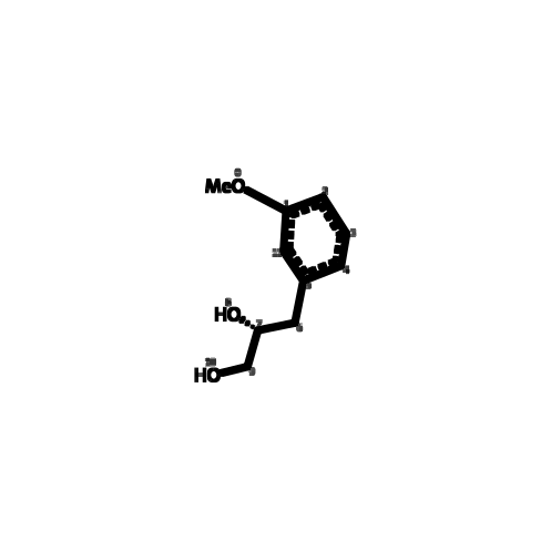 COc1cccc(C[C@@H](O)CO)c1